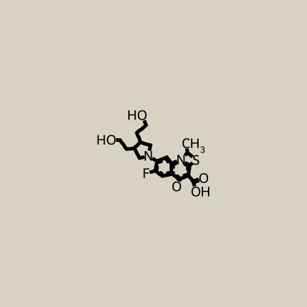 CC1Sc2c(C(=O)O)c(=O)c3cc(F)c(N4CC(CCO)C(CCO)C4)cc3n21